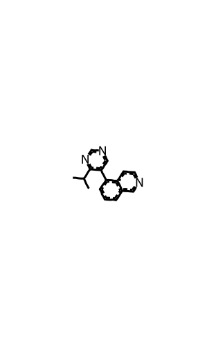 CC(C)c1ncncc1-c1cccc2cnccc12